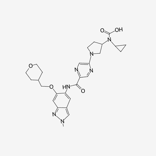 Cn1cc2cc(NC(=O)c3cnc(N4CCC(N(C(=O)O)C5CC5)C4)cn3)c(OCC3CCOCC3)cc2n1